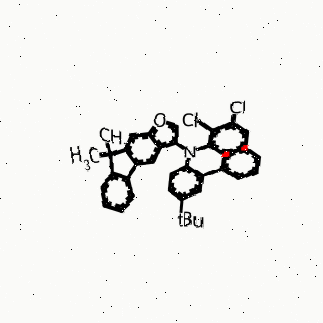 CC(C)(C)c1ccc(N(c2cccc(Cl)c2Cl)c2coc3cc4c(cc23)-c2ccccc2C4(C)C)c(-c2ccccc2)c1